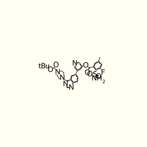 Cc1cc(F)c(S(N)(=O)=O)c(C(=O)Oc2cncc(-c3ccc4ncnc(N5CCN(C(=O)OC(C)(C)C)CC5)c4c3)c2)c1